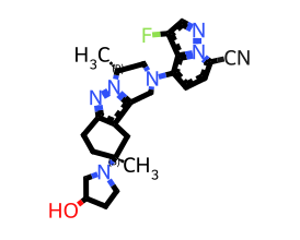 C[C@@H]1CN(c2ccc(C#N)n3ncc(F)c23)Cc2c3c(nn21)CC[C@](C)(N1CCC(O)C1)C3